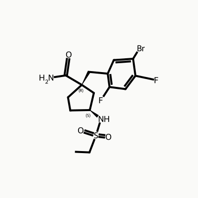 CCS(=O)(=O)N[C@H]1CC[C@](Cc2cc(Br)c(F)cc2F)(C(N)=O)C1